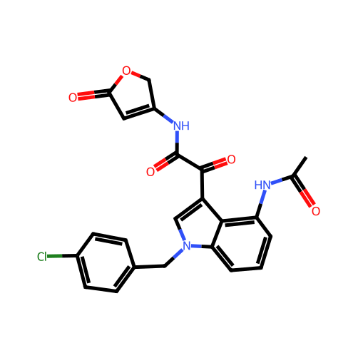 CC(=O)Nc1cccc2c1c(C(=O)C(=O)NC1=CC(=O)OC1)cn2Cc1ccc(Cl)cc1